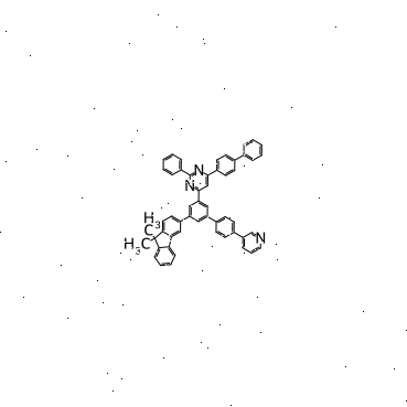 CC1(C)c2ccccc2-c2cc(-c3cc(-c4ccc(-c5cccnc5)cc4)cc(-c4cc(-c5ccc(-c6ccccc6)cc5)nc(-c5ccccc5)n4)c3)ccc21